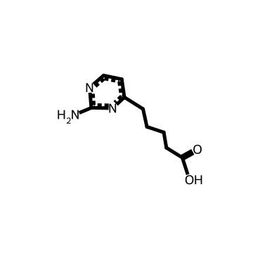 Nc1nccc(CCCCC(=O)O)n1